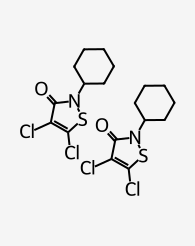 O=c1c(Cl)c(Cl)sn1C1CCCCC1.O=c1c(Cl)c(Cl)sn1C1CCCCC1